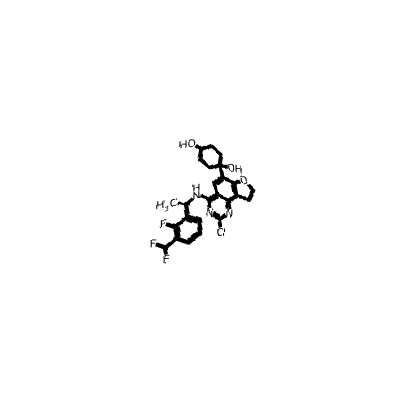 C[C@@H](Nc1nc(Cl)nc2c3c(c(C4(O)CCC(O)CC4)cc12)OCC3)c1cccc(C(F)F)c1F